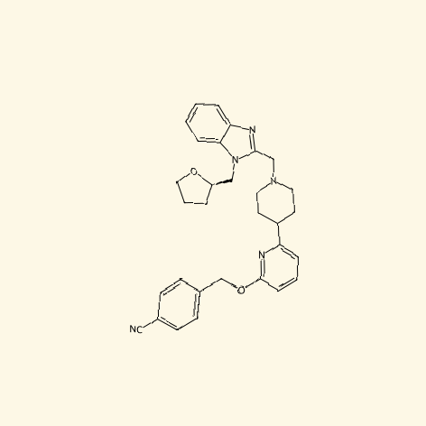 N#Cc1ccc(COc2cccc(C3CCN(Cc4nc5ccccc5n4C[C@H]4CCCO4)CC3)n2)cc1